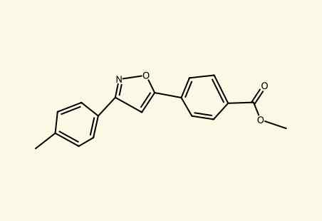 COC(=O)c1ccc(-c2cc(-c3ccc(C)cc3)no2)cc1